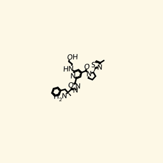 Cc1csc([C@H]2CCCN2C(=O)c2cc(NCCO)nc(-c3nnc([C@](C)(N)Cc4ccccc4)o3)c2)n1